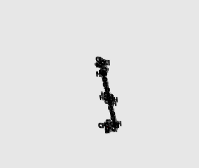 CN1Cc2c(Cl)cc(Cl)cc2[C@H](C2CCCC(S(=O)(=O)NCCOCCOCCOCCNC(=O)[C@@H](O)[C@H](O)C(=O)NCCOCCOCCOCCNS(=O)(=O)C3CCCC([C@@H]4CN(C)Cc5c(Cl)cc(Cl)cc54)C3)C2)C1